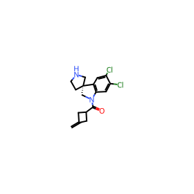 C=C1CC(C(=O)N2C[C@@]3(CCNC3)c3cc(Cl)c(Cl)cc32)C1